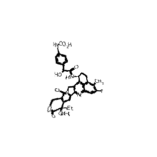 CC[C@@]1(O)C(=O)OCc2c1cc1n(c2=O)Cc2c-1nc1cc(F)c(C)c3c1c2[C@@H](NC(=O)C(O)c1ccc(NC(=O)O)cc1)CC3